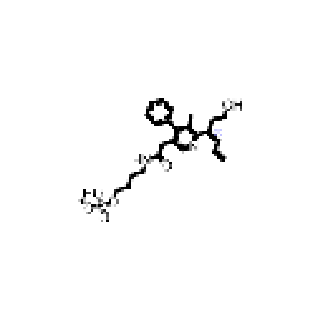 C=C/C=C(/CCO)c1ncc(CC(=O)NCCCCOP(=O)(O)OC)c(-c2ccccc2)c1C